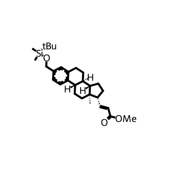 COC(=O)C=C[C@H]1CC[C@H]2[C@@H]3CCc4cc(CO[Si](C)(C)C(C)(C)C)ccc4[C@H]3CC[C@]12C